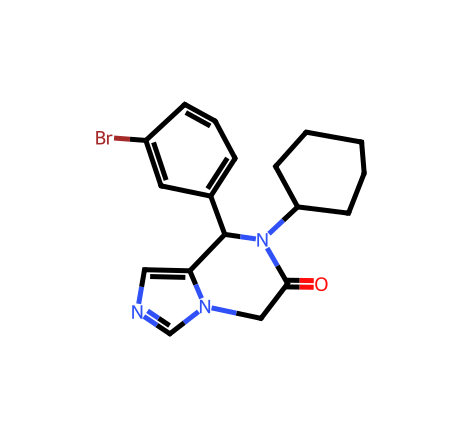 O=C1Cn2cncc2C(c2cccc(Br)c2)N1C1CCCCC1